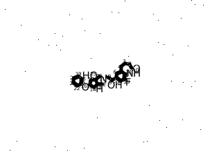 O=C1CCCc2cc([C@@H](O)CN3C[C@H]4C[C@H](Oc5ccccc5)C[C@@]4(O)C3)cc(F)c2N1